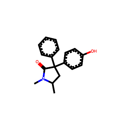 CC1CC(c2ccccc2)(c2ccc(O)cc2)C(=O)N1C